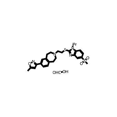 Cc1cc(-c2ccc3c(c2)CCN(CCSc2nc4cc(S(C)(=O)=O)ccc4n2C(C)C)CC3)no1.O=CO